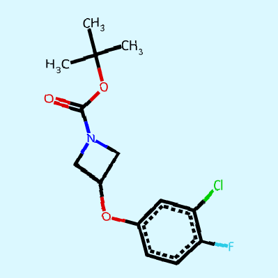 CC(C)(C)OC(=O)N1CC(Oc2ccc(F)c(Cl)c2)C1